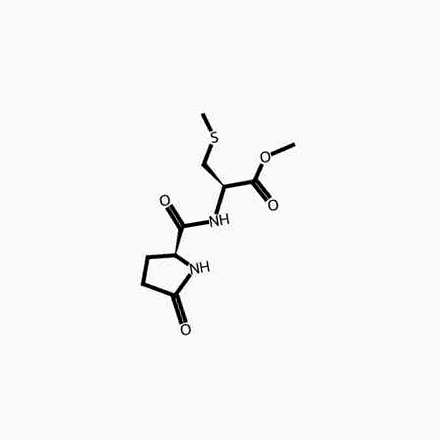 COC(=O)[C@H](CSC)NC(=O)[C@@H]1CCC(=O)N1